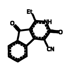 CCc1[nH]c(=O)c(C#N)c2c1C(=O)c1ccccc1-2